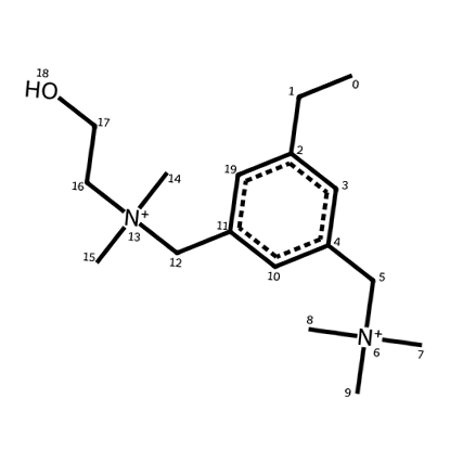 CCc1cc(C[N+](C)(C)C)cc(C[N+](C)(C)CCO)c1